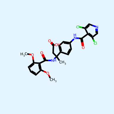 COc1cccc(OC)c1C(=O)NC(C)(CC(=O)O)c1ccc(NC(=O)c2c(Cl)cncc2Cl)cc1